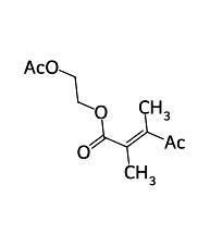 CC(=O)OCCOC(=O)C(C)=C(C)C(C)=O